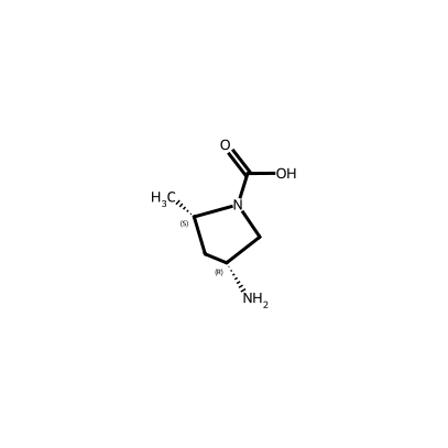 C[C@H]1C[C@@H](N)CN1C(=O)O